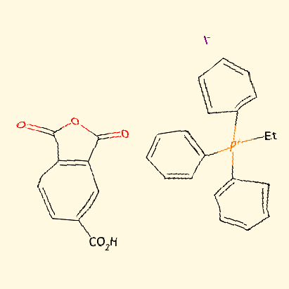 CC[P+](c1ccccc1)(c1ccccc1)c1ccccc1.O=C(O)c1ccc2c(c1)C(=O)OC2=O.[I-]